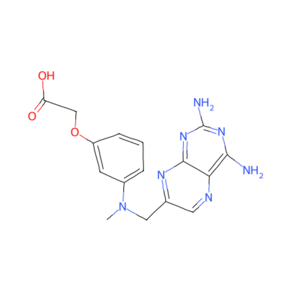 CN(Cc1cnc2c(N)nc(N)nc2n1)c1cccc(OCC(=O)O)c1